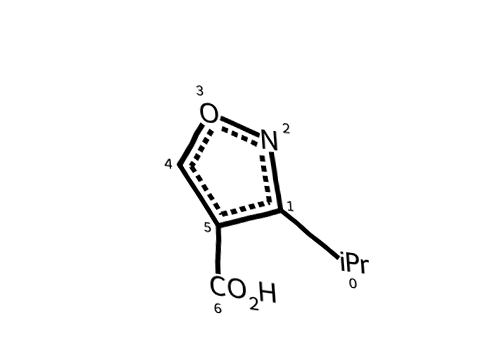 CC(C)c1nocc1C(=O)O